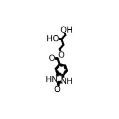 O=C(OCCC(O)CO)c1ccc2[nH]c(=O)[nH]c2c1